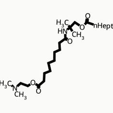 CCCCCCCC(=O)OCC(C)(C)NC(=O)CCCCCCCCC(=O)OCCN(C)C